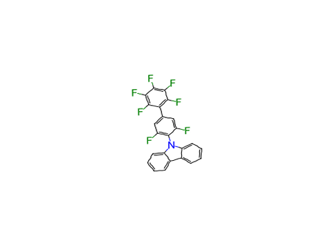 Fc1cc(-c2c(F)c(F)c(F)c(F)c2F)cc(F)c1-n1c2ccccc2c2ccccc21